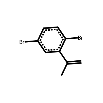 C=C(C)c1cc(Br)ccc1Br